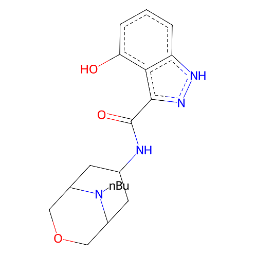 CCCCN1C2COCC1CC(NC(=O)c1n[nH]c3cccc(O)c13)C2